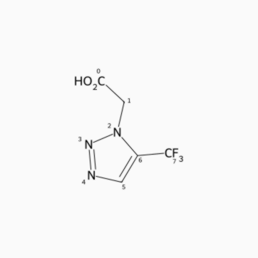 O=C(O)Cn1nncc1C(F)(F)F